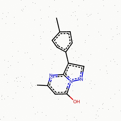 Cc1ccc(-c2cnn3c(O)cc(C)nc23)cc1